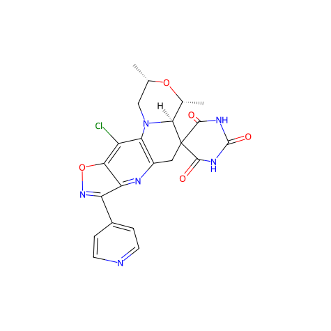 C[C@H]1CN2c3c(nc4c(-c5ccncc5)noc4c3Cl)CC3(C(=O)NC(=O)NC3=O)[C@@H]2[C@@H](C)O1